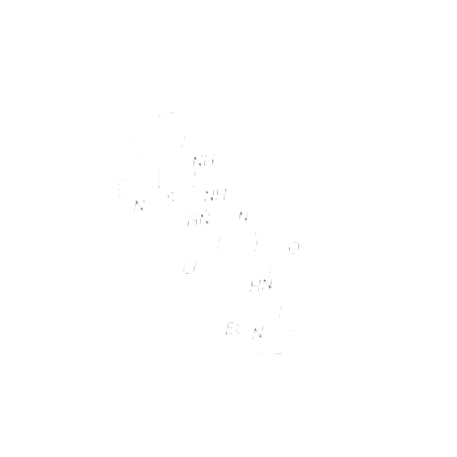 CCN1CCCC1CNC(=O)c1cnc(NNC(=S)NC2c3ccccc3CCc3ccncc32)c(Cl)c1